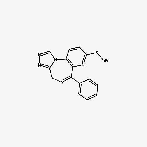 CCCSc1ccc2c(n1)C(c1ccccc1)=NCc1nncn1-2